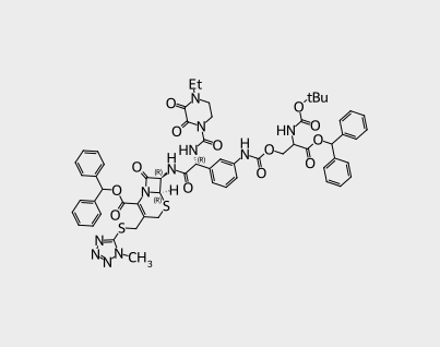 CCN1CCN(C(=O)N[C@@H](C(=O)N[C@@H]2C(=O)N3C(C(=O)OC(c4ccccc4)c4ccccc4)=C(CSc4nnnn4C)CS[C@H]23)c2cccc(NC(=O)OCC(NC(=O)OC(C)(C)C)C(=O)OC(c3ccccc3)c3ccccc3)c2)C(=O)C1=O